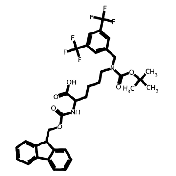 CC(C)(C)OC(=O)N(CCCCC(NC(=O)OCC1c2ccccc2-c2ccccc21)C(=O)O)Cc1cc(C(F)(F)F)cc(C(F)(F)F)c1